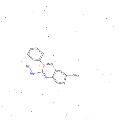 COc1ccc(/N=C(/NC#N)Oc2ccccc2)c(OC)c1